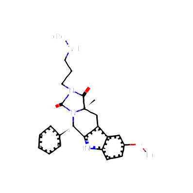 CCOc1ccc2[nH]c3c(c2c1)C[C@@]1(C)C(=O)N(CCCNC(C)(C)C)C(=O)N1[C@@H]3c1ccccc1